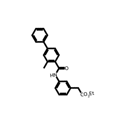 CCOC(=O)Cc1cccc(NC(=O)c2ccc(-c3ccccc3)cc2C)c1